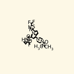 CN(C)C(=O)N1CCN(c2cc(S(=O)(=O)NC3(CF)CC3)cn3c(-c4nnc(C(F)F)s4)ccc23)CC1